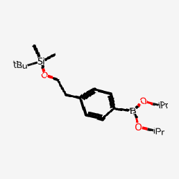 CC(C)OB(OC(C)C)c1ccc(CCO[Si](C)(C)C(C)(C)C)cc1